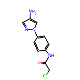 Nc1cnn(-c2ccc(NC(=O)CCl)cc2)c1